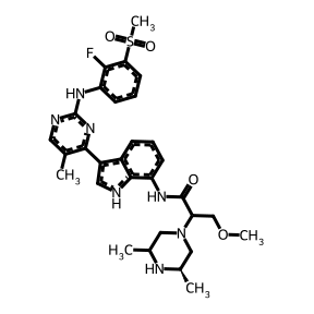 COCC(C(=O)Nc1cccc2c(-c3nc(Nc4cccc(S(C)(=O)=O)c4F)ncc3C)c[nH]c12)N1CC(C)N[C@H](C)C1